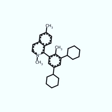 Cc1ccc2c(-c3cc(C4CCCCC4)cc(C4CCCCC4)c3C)[n+](C)ccc2c1